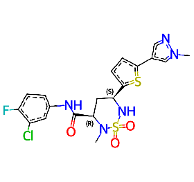 CN1[C@@H](C(=O)Nc2ccc(F)c(Cl)c2)C[C@@H](c2ccc(-c3cnn(C)c3)s2)NS1(=O)=O